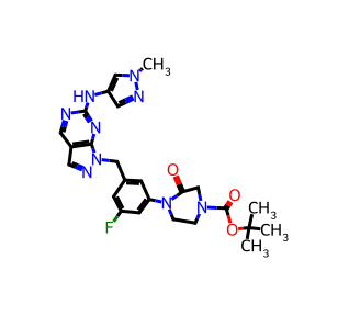 Cn1cc(Nc2ncc3cnn(Cc4cc(F)cc(N5CCN(C(=O)OC(C)(C)C)CC5=O)c4)c3n2)cn1